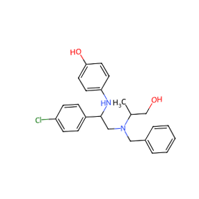 CC(CO)N(Cc1ccccc1)CC(Nc1ccc(O)cc1)c1ccc(Cl)cc1